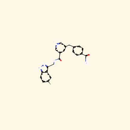 NC(=O)c1ccc(Cc2cncc(C(=O)NCc3n[nH]c4ccc(Cl)cc34)c2)cc1